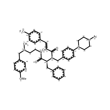 COc1ccc(CN(C)CCN(C)C(=O)[C@H](Cc2ccccc2)N(Cc2ccc(N3CCN(C(C)=O)CC3)cc2)C(=O)C=Cc2ccc(C(F)(F)F)cc2)cn1